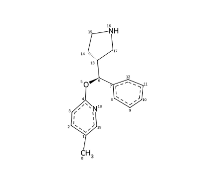 Cc1ccc(O[C@H](c2ccccc2)[C@@H]2CCNC2)nc1